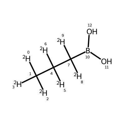 [2H]C([2H])([2H])C([2H])([2H])C([2H])([2H])B(O)O